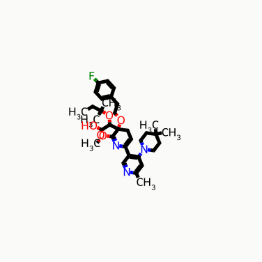 CCC(C)(C)OC(C(=O)O)C1(OCCc2ccc(F)cc2)CC=C(c2cnc(C)cc2N2CCC(C)(C)CC2)N=C1OC